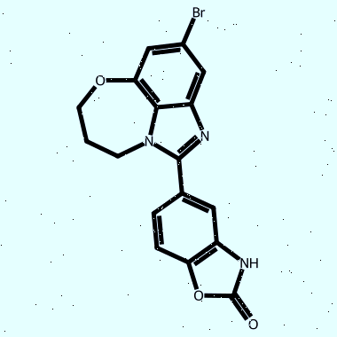 O=c1[nH]c2cc(-c3nc4cc(Br)cc5c4n3CCCO5)ccc2o1